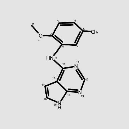 COc1ccc(Cl)cc1Nc1ncnc2[nH]ccc12